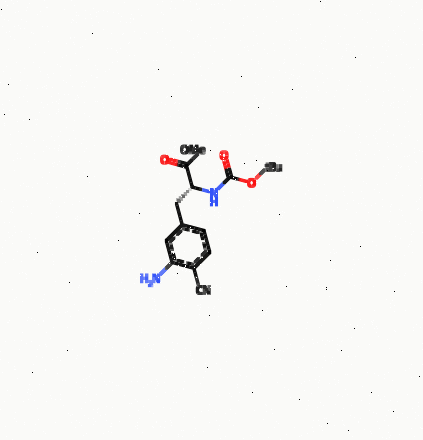 COC(=O)[C@@H](Cc1ccc(C#N)c(N)c1)NC(=O)OC(C)(C)C